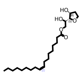 CCCCCCCC/C=C\CCCCCCCC(=O)OCC(O)[C@H]1OCC[C@H]1O